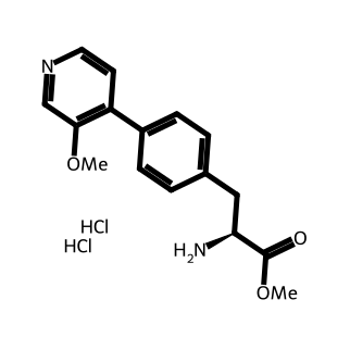 COC(=O)[C@@H](N)Cc1ccc(-c2ccncc2OC)cc1.Cl.Cl